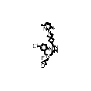 Cc1ccc(F)c(N2CC3(CC(c4nnc5n4-c4ccc(Cl)cc4CN(CC4(F)COC4)C5)C3)C2)n1